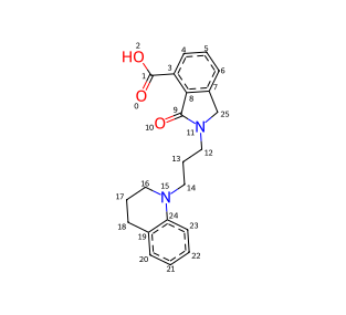 O=C(O)c1cccc2c1C(=O)N(CCCN1CCCc3ccccc31)C2